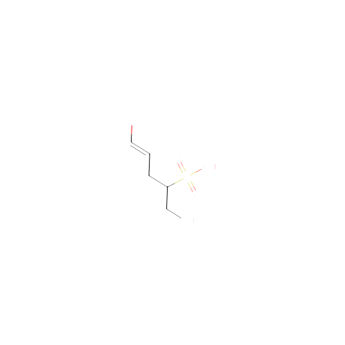 CCC(CC=CO)S(=O)(=O)O